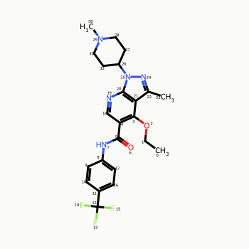 CCOc1c(C(=O)Nc2ccc(C(F)(F)F)cc2)cnc2c1c(C)nn2C1CCN(C)CC1